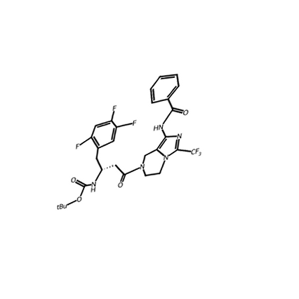 CC(C)(C)OC(=O)N[C@@H](CC(=O)N1CCn2c(C(F)(F)F)nc(NC(=O)c3ccccc3)c2C1)Cc1cc(F)c(F)cc1F